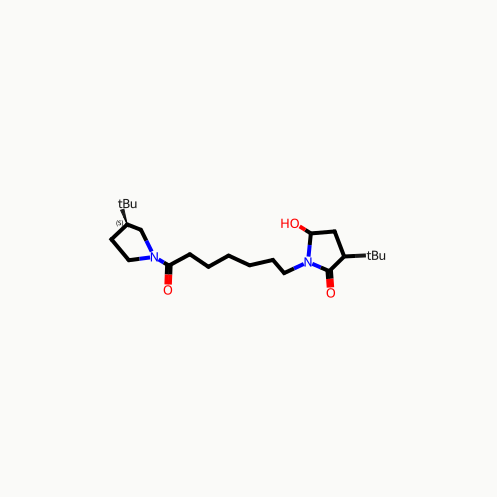 CC(C)(C)C1CC(O)N(CCCCCCC(=O)N2CC[C@@H](C(C)(C)C)C2)C1=O